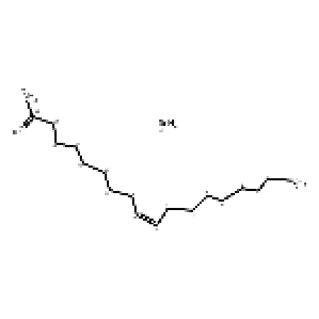 CCCCCCCC/C=C\CCCCCCCC(N)=O.[SnH4]